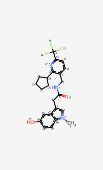 Cn1cc(CC(=O)NCc2ccc(C(F)(F)F)nc2C2CCCC2)c2cc(O)ccc21